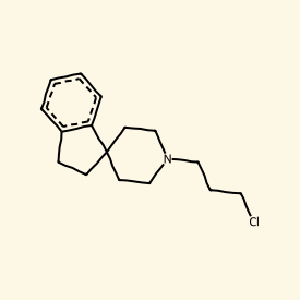 ClCCCN1CCC2(CCc3ccccc32)CC1